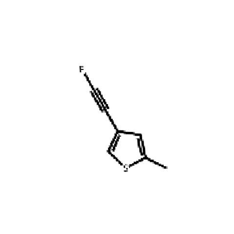 Cc1cc(C#CF)cs1